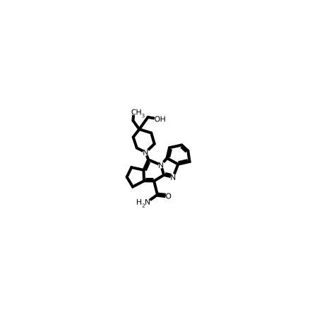 CCC1(CO)CCN(c2c3c(c(C(N)=O)c4nc5ccccc5n24)CCC3)CC1